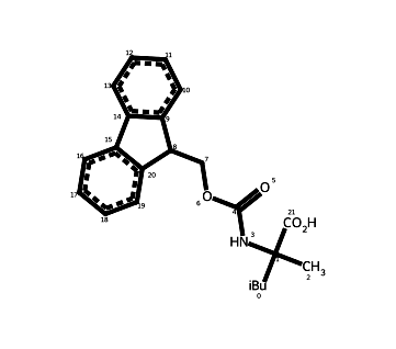 CCC(C)C(C)(NC(=O)OCC1c2ccccc2-c2ccccc21)C(=O)O